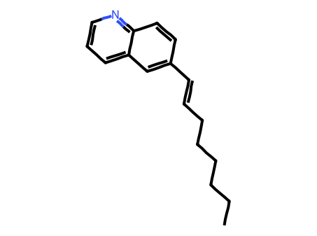 CCCCCCC=Cc1ccc2ncccc2c1